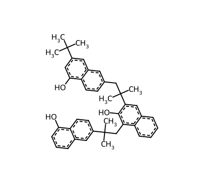 CC(C)(C)c1cc(O)c2ccc(CC(C)(C)c3cc4ccccc4c(CC(C)(C)c4ccc5c(O)cccc5c4)c3O)cc2c1